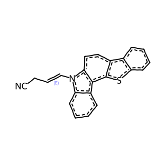 N#CC/C=C/n1c2ccccc2c2c3sc4ccccc4c3ccc21